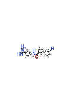 N#Cc1cccc(-c2cccc(C(=O)NCc3ccc(C(=N)N)cc3)c2)c1